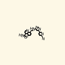 CNC(=O)c1ccnc2c(CCNc3cc(-c4ccc(C#N)nc4)ncn3)ccc(F)c12